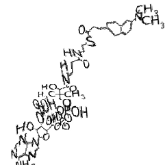 CN(C)c1ccc2cc(CCC(=O)SCCNC(=O)CCNC(=O)[C@H](O)C(C)(C)COP(=O)(O)OP(=O)(O)OC[C@H]3O[C@@H](n4cnc5c(N)ncnc54)[C@H](O)[C@@H]3OP(=O)(O)O)ccc2c1